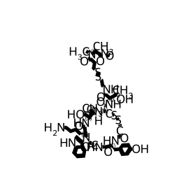 C[C@@H](O)[C@H](NC(=O)[C@@H]1CSSCCC(=O)N[C@@H](Cc2ccc(O)cc2)C(=O)NCC(=O)N(c2c[nH]c3ccccc23)[C@@H](CCCCN)C(=O)N[C@@H]([C@@H](C)O)C(=O)N1)C(=O)NCCSSCCC(=O)N(C)[C@@H](C)C(=O)N=O